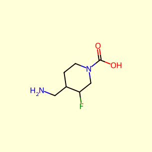 NCC1CCN(C(=O)O)CC1F